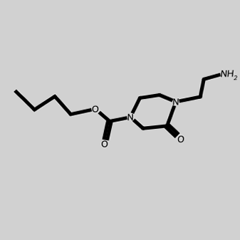 CCCCOC(=O)N1CCN(CCN)C(=O)C1